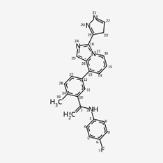 C=C(Nc1ccc(F)cc1)c1cc(-c2cccn3c(C4=NN=CC4)ncc23)ccc1C